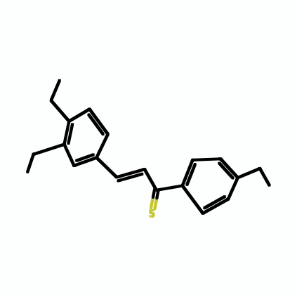 CCc1ccc(C(=S)C=Cc2ccc(CC)c(CC)c2)cc1